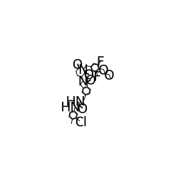 COCOc1c(F)cc(CN2C(=O)CCC(N3Cc4cc(CNC(=O)Nc5ccc(C)c(Cl)c5)ccc4C3=O)C2=O)cc1F